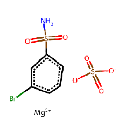 NS(=O)(=O)c1cccc(Br)c1.O=S(=O)([O-])[O-].[Mg+2]